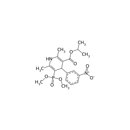 COP(=O)(OC)C1=C(C)NC(C)=C(C(=O)OC(C)C)C1c1cccc([N+](=O)[O-])c1